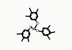 Cc1cc([O][Bi]([O]c2cc(C)c(C)c(C)c2)[O]c2cc(C)c(C)c(C)c2)cc(C)c1C